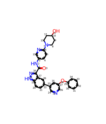 O=C(Nc1ccc(N2CCC(O)CC2)nc1)c1n[nH]c2ccc(-c3cncc(Oc4ccccc4)c3)cc12